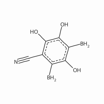 Bc1c(O)c(B)c(C#N)c(O)c1O